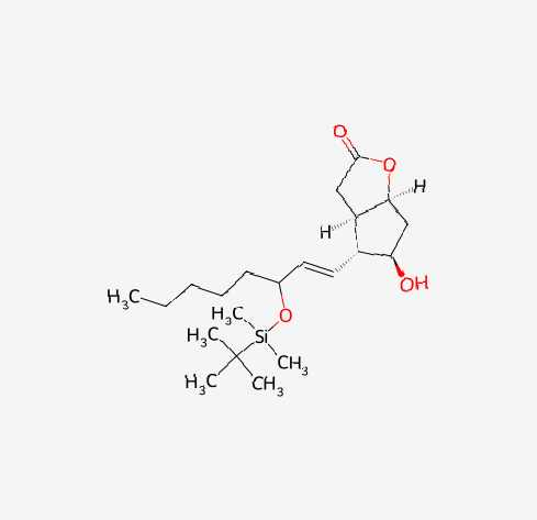 CCCCCC(C=C[C@@H]1[C@H]2CC(=O)O[C@H]2C[C@H]1O)O[Si](C)(C)C(C)(C)C